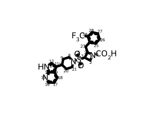 O=C(O)N1CC(S(=O)(=O)N2CCC(c3c[nH]c4ncccc34)CC2)C1Cc1ccccc1C(F)(F)F